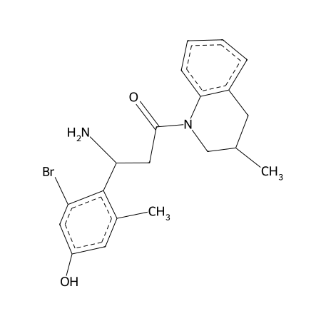 Cc1cc(O)cc(Br)c1C(N)CC(=O)N1CC(C)Cc2ccccc21